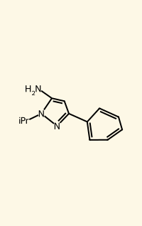 CC(C)n1nc(-c2ccccc2)cc1N